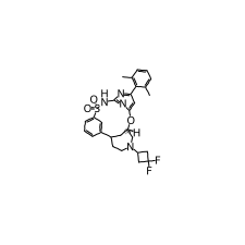 Cc1cccc(C)c1-c1cc2nc(n1)NS(=O)(=O)c1cccc(c1)C1CCN(C3CC(F)(F)C3)C[C@H](C1)O2